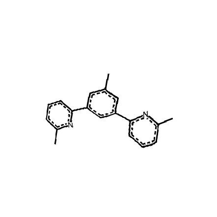 Cc1cc(-c2cccc(C)n2)cc(-c2cccc(C)n2)c1